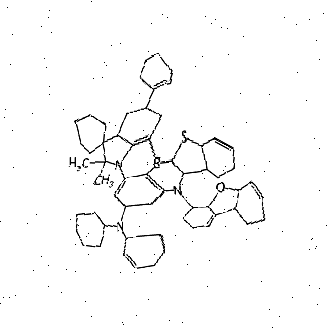 CC1(C)N2C3=CC(N(C4C=CCCC4)C4CCCCC4)CC4=C3B(C3=C2C(CC(C2=CCCCC2)C3)C12CCCCC2)C1SC2C=CCCC2C1N4C1CCC=C2C3CCC=CC3OC21